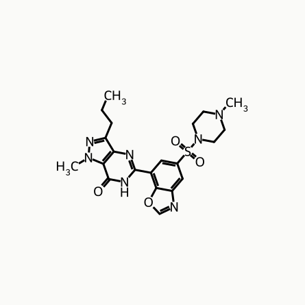 CCCc1nn(C)c2c(=O)[nH]c(-c3cc(S(=O)(=O)N4CCN(C)CC4)cc4ncoc34)nc12